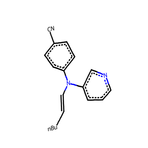 CCCCC=CN(c1ccc(C#N)cc1)c1cccnc1